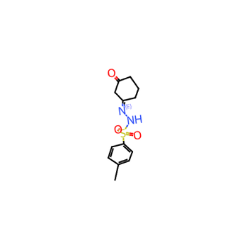 Cc1ccc(S(=O)(=O)N/N=C2\CCCC(=O)C2)cc1